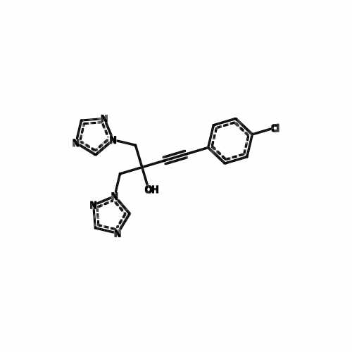 OC(C#Cc1ccc(Cl)cc1)(Cn1cncn1)Cn1cncn1